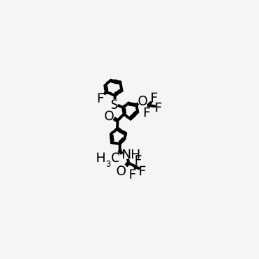 C[C@H](NC(=O)C(F)(F)F)c1ccc(C(=O)c2ccc(OC(F)(F)F)cc2Sc2ccccc2F)cc1